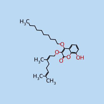 CCCCCCCCCCOc1c(OCC=C(C)CCC=C(C)C)c(=O)oc2c(O)cccc12